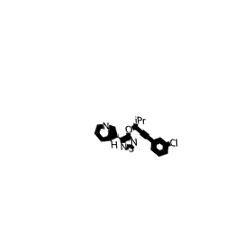 CC(C)C(C#Cc1cccc(Cl)c1)Oc1nsnc1[C@H]1CN2CCC[C@H]1C2